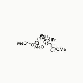 COCCCOc1cc(C[C@@H](C[C@H](N)[C@@H](O)C[C@H](C(=O)NC[C@@H]2C[C@H](OC)CO2)C(C)C)C(C)C)ccc1OC